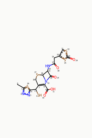 Cc1nnc(C(S)C2=C(C(=O)O)N3C(=O)C(NC(=O)Cc4csc(=O)s4)C3SC2)s1